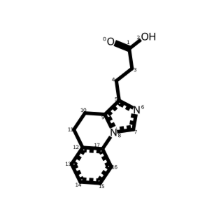 O=C(O)CCc1ncn2c1CCc1ccccc1-2